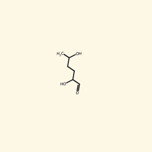 CC(O)CCC(O)C=O